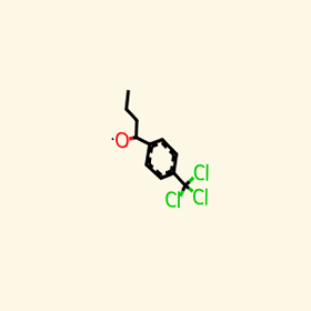 CCCC([O])c1ccc(C(Cl)(Cl)Cl)cc1